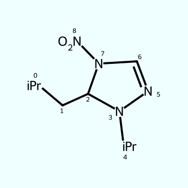 CC(C)CC1N(C(C)C)N=CN1[N+](=O)[O-]